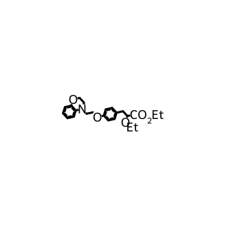 CCOC(=O)C(Cc1ccc(OCCN2CCOc3ccccc32)cc1)OCC